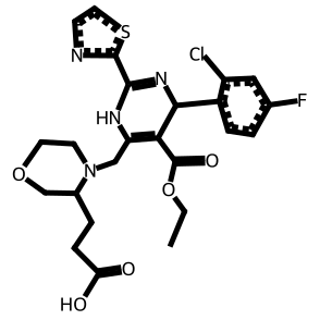 CCOC(=O)C1=C(CN2CCOCC2CCC(=O)O)NC(c2nccs2)=NC1c1ccc(F)cc1Cl